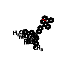 CCCCC1(CCCC)c2cc(C)ccc2-c2ccc(N(c3ccc4c(c3)C(CCCC)(CCCC)c3cc(C)ccc3-4)c3ccc4cc(-c5c6ccccc6c(-c6ccccc6-c6ccccc6)c6ccccc56)ccc4c3)cc21